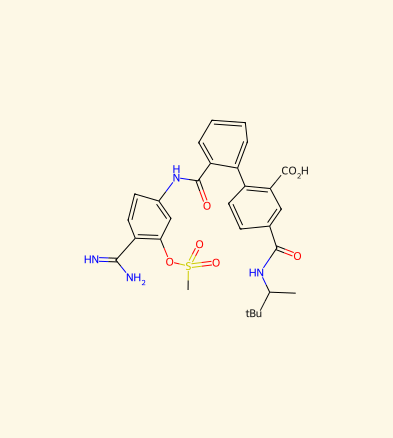 CC(NC(=O)c1ccc(-c2ccccc2C(=O)Nc2ccc(C(=N)N)c(OS(C)(=O)=O)c2)c(C(=O)O)c1)C(C)(C)C